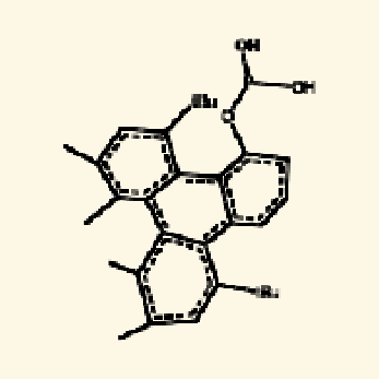 Cc1cc(C(C)(C)C)c2c3cccc(OP(O)O)c3c3c(C(C)(C)C)cc(C)c(C)c3c2c1C